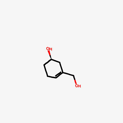 OCC1=CCC[C@@H](O)C1